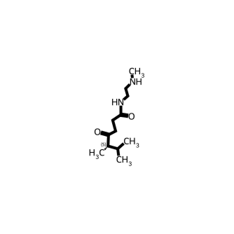 CNCCNC(=O)CCC(=O)[C@@H](C)C(C)C